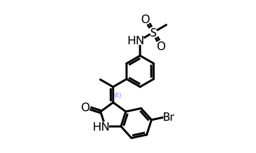 C/C(=C1\C(=O)Nc2ccc(Br)cc21)c1cccc(NS(C)(=O)=O)c1